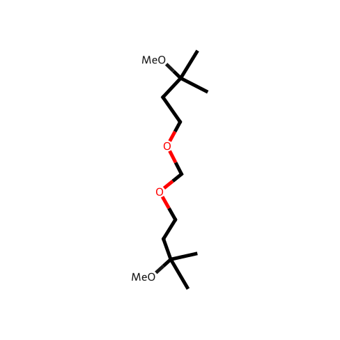 COC(C)(C)CCOCOCCC(C)(C)OC